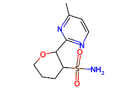 Cc1ccnc(C2OCCCC2S(N)(=O)=O)n1